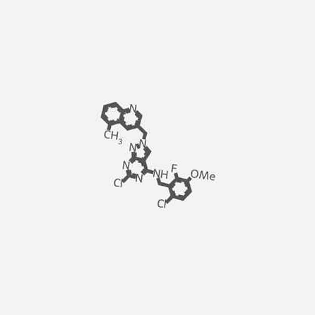 COc1ccc(Cl)c(CNc2nc(Cl)nc3nn(Cc4cnc5cccc(C)c5c4)cc23)c1F